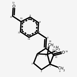 CC12CCC(C(=Cc3ccc(C=O)cc3)C1=O)C2(C)C